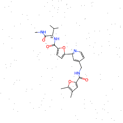 CNC(=O)[C@@H](NC(=O)c1ccc(-c2cc(CNC(=O)c3cc(C)c(C)o3)ccn2)o1)C(C)C